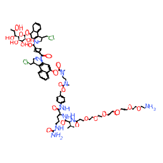 CC(C)C(NC(=O)CCOCCOCCOCCOCCOCCOCCN)C(=O)NC(CCCNC(N)=O)C(=O)Nc1ccc(COC(=O)N(C)CCN(C)C(=O)Oc2cc3c(c4ccccc24)C(CCl)CN3C(=O)C23CC(C(=O)N4CC(CCl)c5c4cc(OC4OC(C(O)C(C)O)C(O)C(O)C4O)c4ccccc54)(C2)C3)cc1